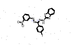 O=[N+]([O-])c1cccc(/N=N/C(=N/Nc2nc3ccccc3s2)c2ccc(I)cc2)c1